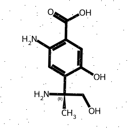 C[C@](N)(CO)c1cc(N)c(C(=O)O)cc1O